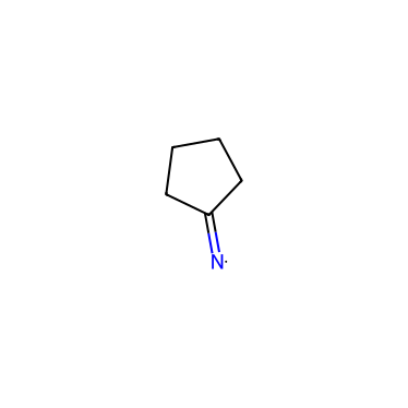 [N]=C1CCCC1